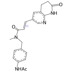 CC(=O)Nc1ccc(CN(C)C(=O)/C=C/c2cnc3c(c2)CCC(=O)N3)cc1